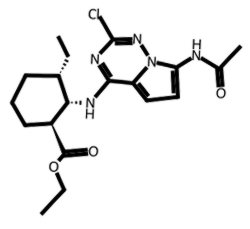 CCOC(=O)[C@H]1CCC[C@H](CC)[C@@H]1Nc1nc(Cl)nn2c(NC(C)=O)ccc12